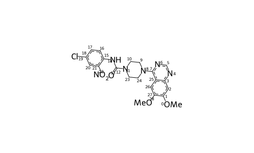 COc1cc2ncnc(N3CCN(C(=O)Nc4ccc(Cl)cc4[N+](=O)[O-])CC3)c2cc1OC